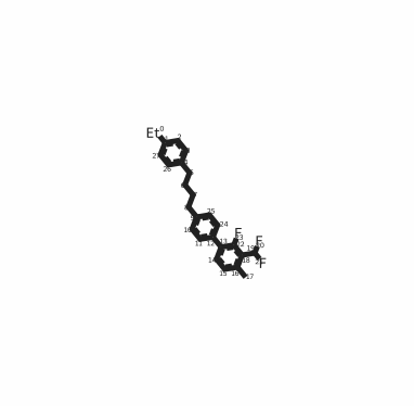 CCc1ccc(CCCCc2ccc(-c3ccc(C)c(C(F)F)c3F)cc2)cc1